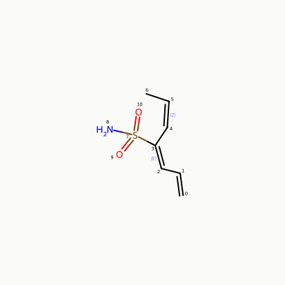 C=C/C=C(\C=C/C)S(N)(=O)=O